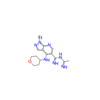 CCn1ncc2c(NC3CCOCC3)c(C(=N)NC(C)=N)cnc21